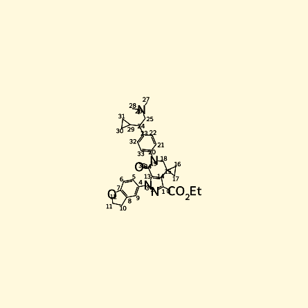 CCOC(=O)c1nn(-c2ccc3c(c2)CCO3)c2c1C1(CC1)CN(c1ccc(C(CN(C)C)C3CC3)cc1)C2=O